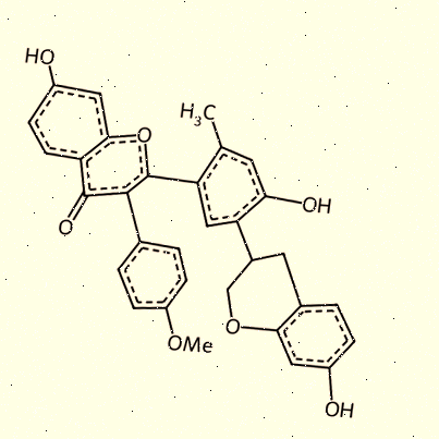 COc1ccc(-c2c(-c3cc(C4COc5cc(O)ccc5C4)c(O)cc3C)oc3cc(O)ccc3c2=O)cc1